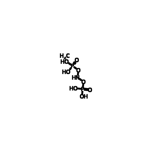 C.O=P(O)(O)ONOP(=O)(O)O